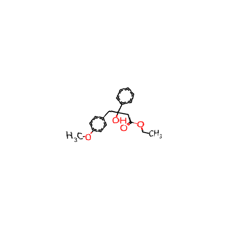 CCOC(=O)CC(O)(Cc1ccc(OC)cc1)c1ccccc1